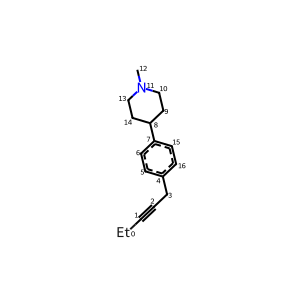 CCC#CCc1ccc(C2CCN(C)CC2)cc1